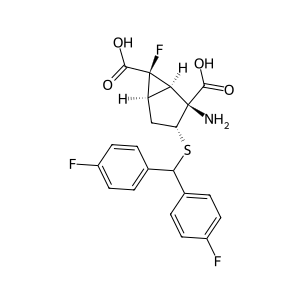 N[C@]1(C(=O)O)[C@H]2[C@@H](C[C@H]1SC(c1ccc(F)cc1)c1ccc(F)cc1)[C@]2(F)C(=O)O